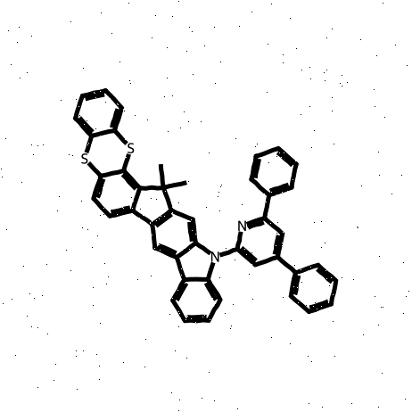 CC1(C)c2cc3c(cc2-c2ccc4c(c21)Sc1ccccc1S4)c1ccccc1n3-c1cc(-c2ccccc2)cc(-c2ccccc2)n1